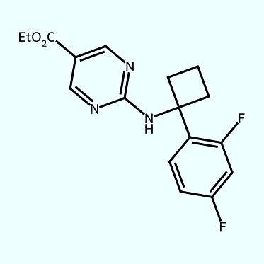 CCOC(=O)c1cnc(NC2(c3ccc(F)cc3F)CCC2)nc1